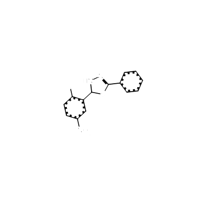 O=[N+]([O-])c1ccc(O)c(C2NN=C(c3ccccc3)S2)c1